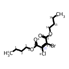 CCCCOC(=O)/C(Cl)=C(/Br)C(=O)OCCCC